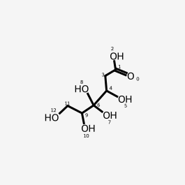 O=C(O)CC(O)C(O)(O)C(O)CO